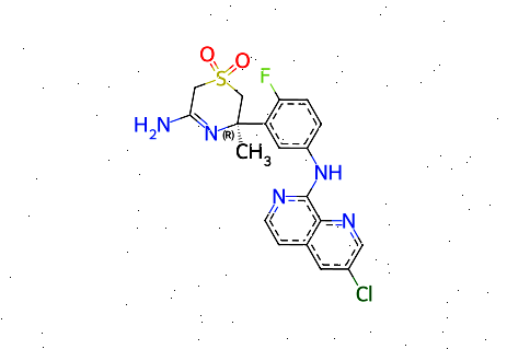 C[C@@]1(c2cc(Nc3nccc4cc(Cl)cnc34)ccc2F)CS(=O)(=O)CC(N)=N1